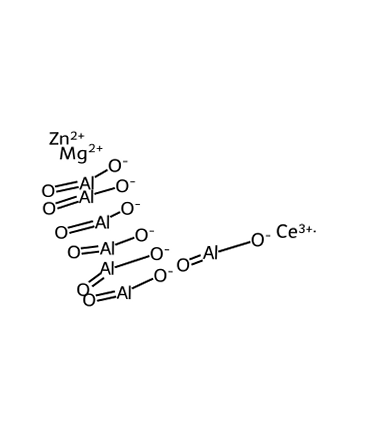 [Ce+3].[Mg+2].[O]=[Al][O-].[O]=[Al][O-].[O]=[Al][O-].[O]=[Al][O-].[O]=[Al][O-].[O]=[Al][O-].[O]=[Al][O-].[Zn+2]